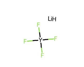 [F][Y]([F])([F])[F].[LiH]